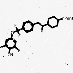 CCCCCC1CCC(C(F)Cc2ccc(C(F)(F)Oc3cc(F)c(C#N)c(F)c3)cc2)CC1